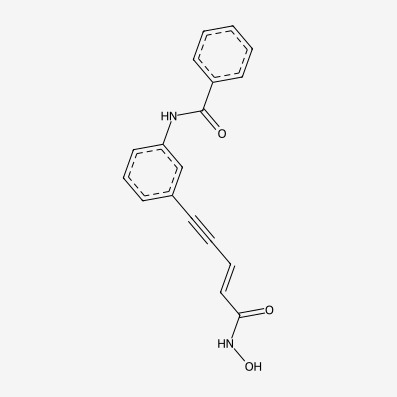 O=C(/C=C/C#Cc1cccc(NC(=O)c2ccccc2)c1)NO